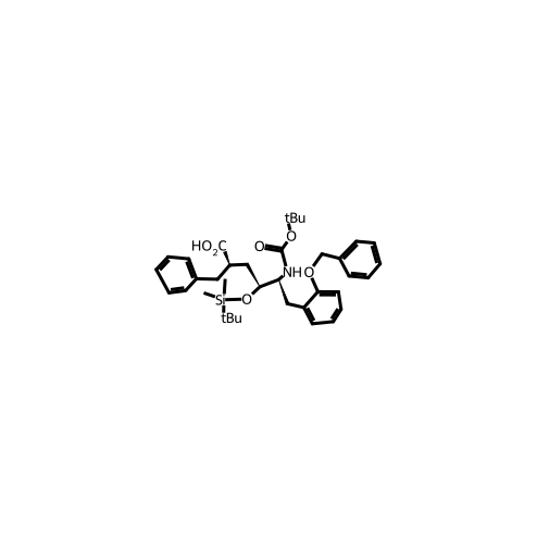 CC(C)(C)OC(=O)N[C@@H](Cc1ccccc1OCc1ccccc1)[C@H](C[C@@H](Cc1ccccc1)C(=O)O)O[Si](C)(C)C(C)(C)C